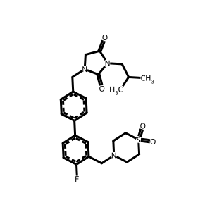 CC(C)CN1C(=O)CN(Cc2ccc(-c3ccc(F)c(CN4CCS(=O)(=O)CC4)c3)cc2)C1=O